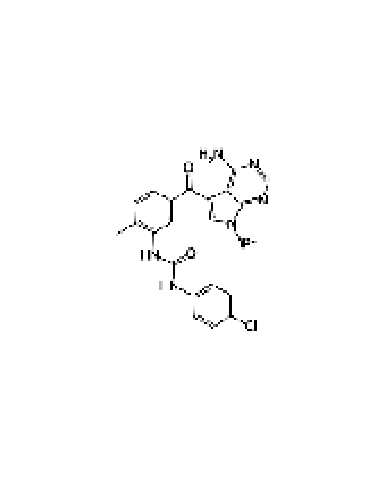 Cc1ccc(C(=O)c2cn(C(C)C)c3ncnc(N)c23)cc1NC(=O)Nc1ccc(Cl)cc1